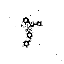 Cc1ccccc1-n1nc(-c2cccs2)cc1NS(=O)(=O)c1ccc(Oc2ccccc2)cc1